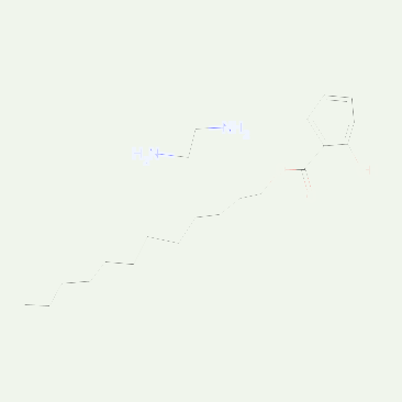 CCCCCCCCCCCCOC(=O)c1ccccc1O.NCCN